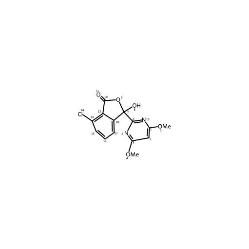 COc1cc(OC)nc(C2(O)OC(=O)c3c(Cl)cccc32)n1